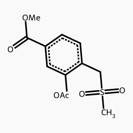 COC(=O)c1ccc(CS(C)(=O)=O)c(OC(C)=O)c1